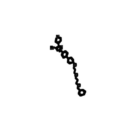 Brc1cn(-c2ccc(-c3ccc(OCCCOCCCOCc4ccccc4)cc3)cc2)nc1-c1ccncc1